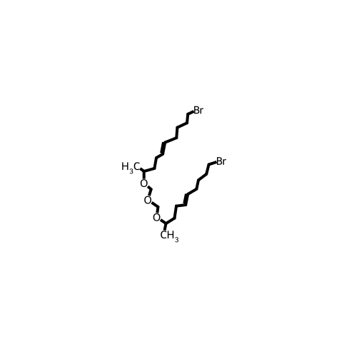 CC(CCC=CCCCCBr)OCOCOC(C)CCC=CCCCCBr